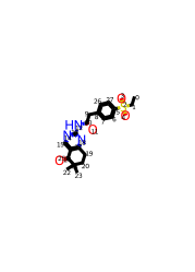 CCS(=O)(=O)c1ccc(CC(=O)Nc2ncc3c(n2)CCC(C)(C)C3=O)cc1